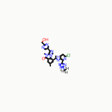 [2H]C([2H])([2H])n1nnc(-c2nc(Cl)ccc2NC(C)c2cc(C)cc3c(=O)n(C)c4c(-c5cnc(CO)nc5)ncn4c23)n1